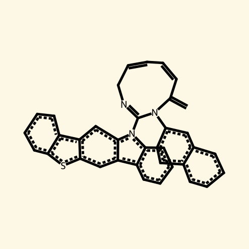 C=C1/C=C\C=C/C/N=C(/n2c3ccccc3c3cc4sc5ccccc5c4cc32)N1c1ccc2ccccc2c1